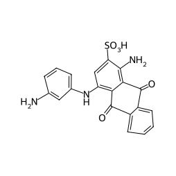 Nc1cccc(Nc2cc(S(=O)(=O)O)c(N)c3c2C(=O)c2ccccc2C3=O)c1